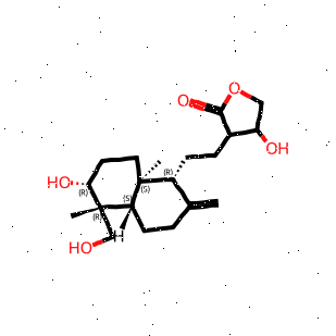 C=C1CC[C@@H]2[C@](C)(CO)[C@H](O)CC[C@@]2(C)[C@@H]1CCC1C(=O)OCC1O